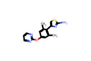 Cc1cc(Oc2ncccn2)cc(C)c1-c1csc(N)n1